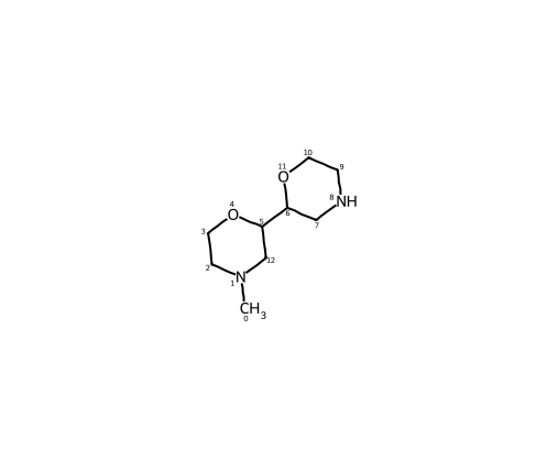 CN1CCOC(C2CNCCO2)C1